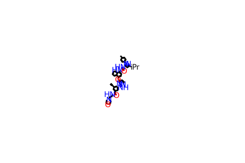 C#Cc1cc(Nc2nccc(Oc3ccc(NC(=O)Nc4cc(C(C)C)nn4-c4ccc(C)cc4)c4ccccc34)n2)cc(C(=O)NCCN2CCOCC2)c1